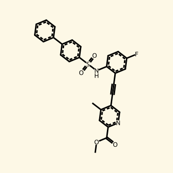 COC(=O)c1cc(C)c(C#Cc2cc(F)ccc2NS(=O)(=O)c2ccc(-c3ccccc3)cc2)cn1